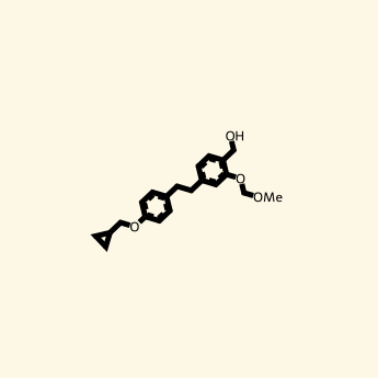 COCOc1cc(CCc2ccc(OCC3CC3)cc2)ccc1CO